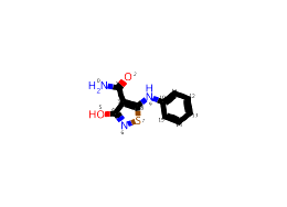 NC(=O)c1c(O)nsc1Nc1ccccc1